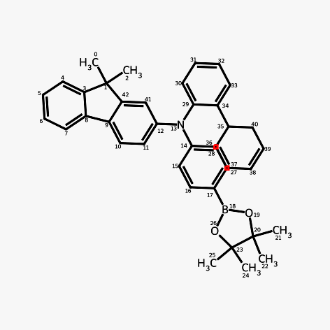 CC1(C)c2ccccc2-c2ccc(N(c3ccc(B4OC(C)(C)C(C)(C)O4)cc3)c3ccccc3C3C=CC=CC3)cc21